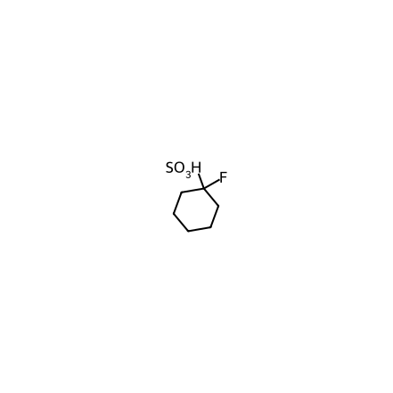 O=S(=O)(O)C1(F)CCCCC1